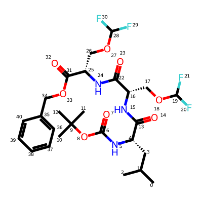 CC(C)C[C@H](NC(=O)OC(C)(C)C)C(=O)N[C@@H](COC(F)F)C(=O)N[C@@H](COC(F)F)C(=O)OCc1ccccc1